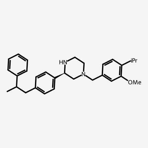 COc1cc(CN2CCN[C@H](c3ccc(CC(C)c4ccccc4)cc3)C2)ccc1C(C)C